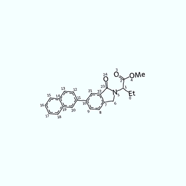 CCC(C(=O)OC)N1Cc2ccc(-c3ccc4ccccc4c3)cc2C1=O